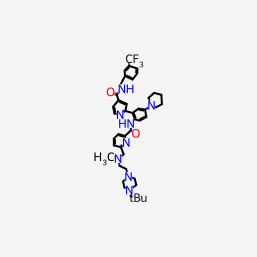 CN(CCN1CCN(C(C)(C)C)CC1)Cc1cccc(C(=O)Nc2ccc(N3CCCCC3)cc2-c2cc(C(=O)NCc3cccc(C(F)(F)F)c3)ccn2)n1